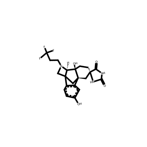 O=C1NC(=O)[C@@]2(CC[C@@]3(O)[C@@H]4N(CCC(F)(F)F)CC45C[C@@]3(C2)c2cc(O)ccc25)N1